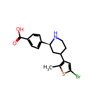 Cc1sc(Br)cc1C1CCN[C@H](c2ccc(C(=O)O)cc2)C1